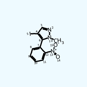 Cn1ncc(I)c1-c1ccccc1[N+](=O)[O-]